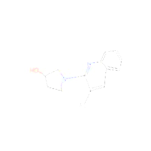 CC(=O)c1cc2ccccc2nc1N1CCC(O)C1